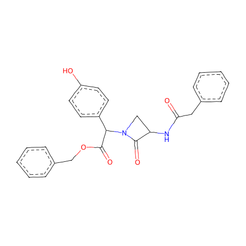 O=C(Cc1ccccc1)NC1CN(C(C(=O)OCc2ccccc2)c2ccc(O)cc2)C1=O